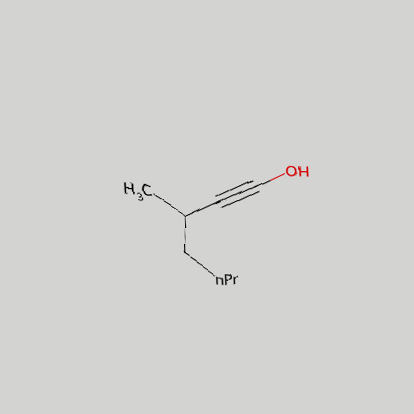 CCCCC(C)C#CO